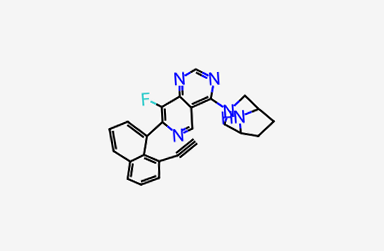 C#Cc1cccc2cccc(-c3ncc4c(N5CC6CCC(C5)N6)ncnc4c3F)c12